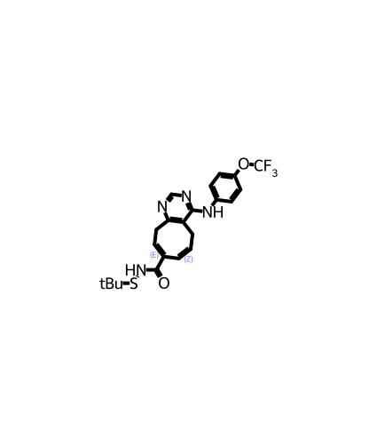 CC(C)(C)SNC(=O)C1=C/Cc2ncnc(Nc3ccc(OC(F)(F)F)cc3)c2C/C=C\1